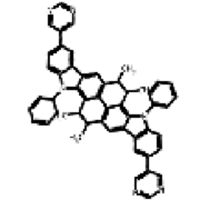 CC1c2cc3c4cc(-c5cncnc5)ccc4n(C4C=CC=CC4)c3c3c2-c2c(cc4c5cc(-c6cncnc6)ccc5n(-c5ccccc5)c4c2C1C)C(C)C3C